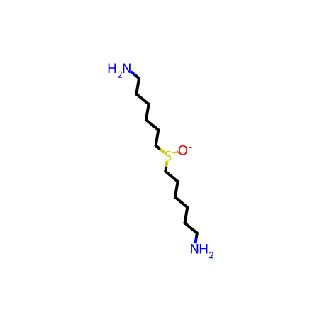 NCCCCCC[S+]([O-])CCCCCCN